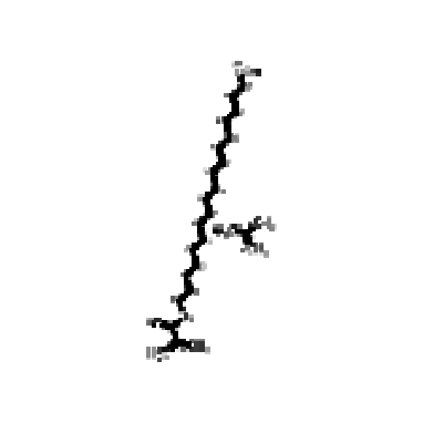 C=C(C)C(=O)O.C=C(C)C(=O)OCCCCCCCCCCCCCCCCCCCCCCCCCCCC